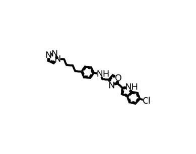 Clc1ccc2cc(-c3nc(CNc4ccc(CCCCn5ccnn5)cc4)co3)[nH]c2c1